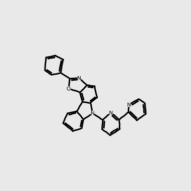 c1ccc(-c2nc3ccc4c(c5ccccc5n4-c4cccc(-c5ccccn5)n4)c3o2)cc1